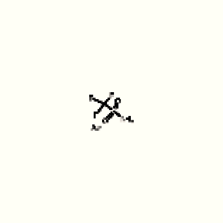 NS(=O)(=O)C(F)(F)F.[Au]